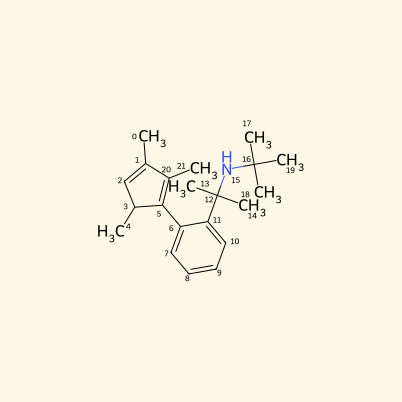 CC1=CC(C)C(c2ccccc2C(C)(C)NC(C)(C)C)=C1C